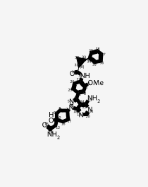 COc1cc(-c2nn(C3CCC(O)(CC(N)=O)CC3)c3ncnc(N)c23)ccc1NC(=O)[C@@H]1C[C@H]1c1ccccc1